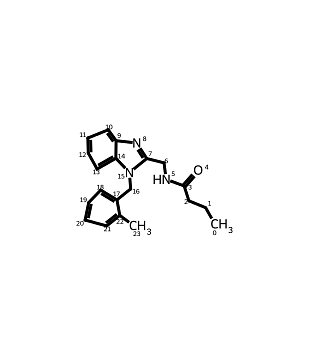 CCCC(=O)NCc1nc2ccccc2n1Cc1ccccc1C